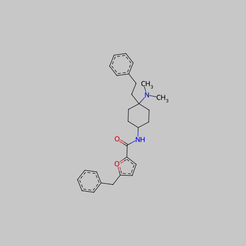 CN(C)C1(CCc2ccccc2)CCC(NC(=O)c2ccc(Cc3ccccc3)o2)CC1